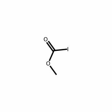 COC(=O)I